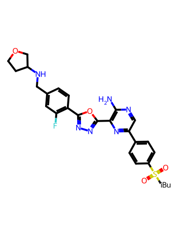 CCC(C)S(=O)(=O)c1ccc(-c2cnc(N)c(-c3nnc(-c4ccc(CNC5CCOC5)cc4F)o3)n2)cc1